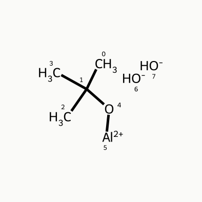 CC(C)(C)[O][Al+2].[OH-].[OH-]